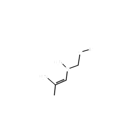 CCOCN(N)/C=C(/C)N